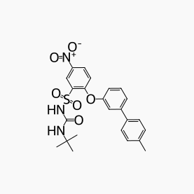 Cc1ccc(-c2cccc(Oc3ccc([N+](=O)[O-])cc3S(=O)(=O)NC(=O)NC(C)(C)C)c2)cc1